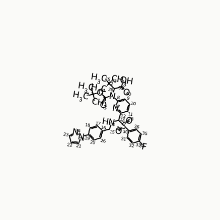 CC(C)(C)OC(=O)N(c1cccc(C(NCc2ccc(-n3cccn3)cc2)S(=O)(=O)c2ccc(F)cc2)n1)C(C(=O)O)C(C)(C)C